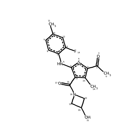 CC(=O)c1sc(Nc2ccc(C)cc2F)c(C(=O)N2CC(O)C2)c1C